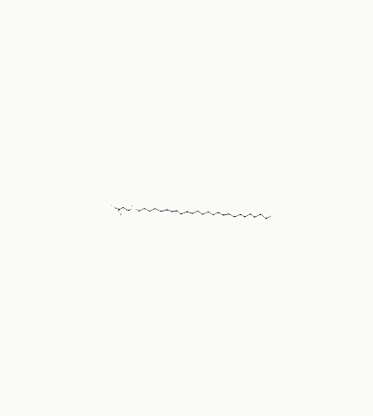 CCCCCCCCCCCCCCCCCCCCCCCCCCNCCC(N)O